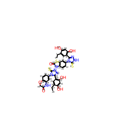 CCc1cc(-c2n[nH]c(=S)n2-c2ccc3c(c2)sc(=O)n3-n2nc(-c3cc(CC)c(O)cc3O)n(-c3ccc4c(c3)NC(=O)CO4)c2=S)c(O)cc1O